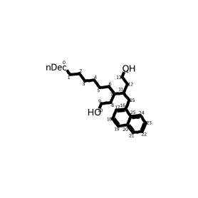 CCCCCCCCCCCCCCCCC(CCO)[C](CCO)Cc1cccc2ccccc12